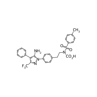 Cc1ccc(S(=O)(=O)N(CCc2ccc(-n3nc(C(F)(F)F)c(-c4ccccc4)c3N)cc2)C(=O)O)cc1